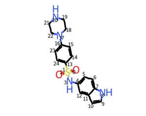 O=S(=O)(Nc1ccc2[nH]ccc2c1)c1ccc(N2CCNCC2)cc1